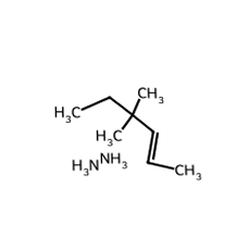 C/C=C/C(C)(C)CC.N.N